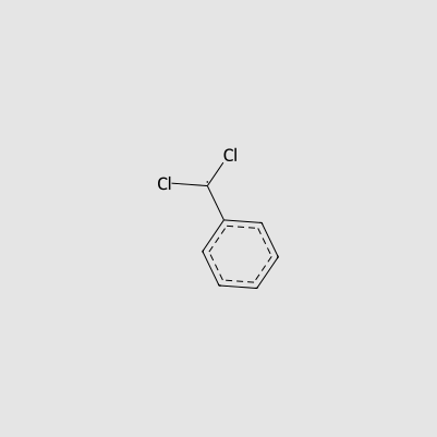 Cl[C](Cl)c1ccccc1